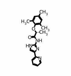 Cc1cc(C)c(O[C@H](C)C(=O)Nc2nc(-c3ccccn3)c[nH]2)c(C)c1